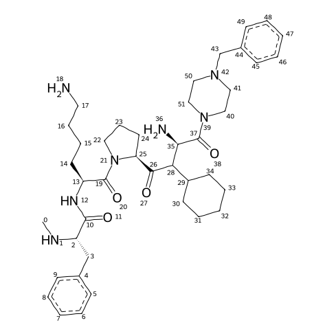 CN[C@@H](Cc1ccccc1)C(=O)N[C@@H](CCCCN)C(=O)N1CCC[C@H]1C(=O)C(C1CCCCC1)[C@@H](N)C(=O)N1CCN(Cc2ccccc2)CC1